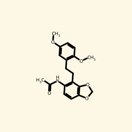 COc1ccc(OC)c(CCc2c(NC(C)=O)ccc3c2OCO3)c1